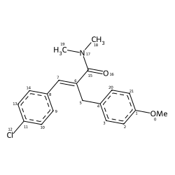 COc1ccc(CC(=Cc2ccc(Cl)cc2)C(=O)N(C)C)cc1